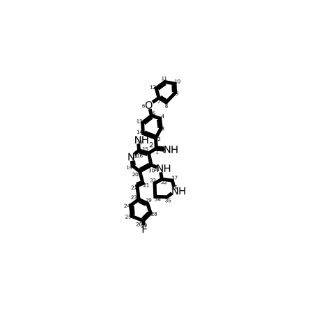 N=C(c1ccc(Oc2ccccc2)cc1)c1c(N)ncc(/C=C/c2ccc(F)cc2)c1NC1CCCNC1